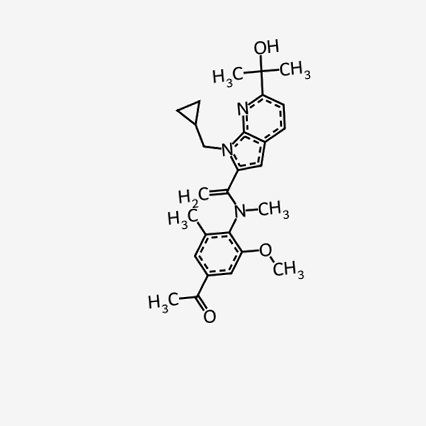 C=C(c1cc2ccc(C(C)(C)O)nc2n1CC1CC1)N(C)c1c(C)cc(C(C)=O)cc1OC